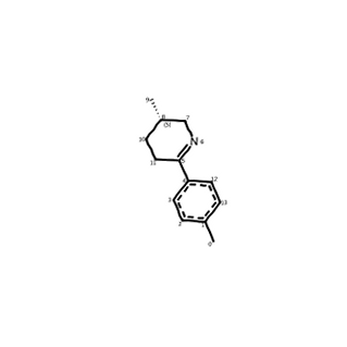 Cc1ccc(C2=NC[C@@H](C)CC2)cc1